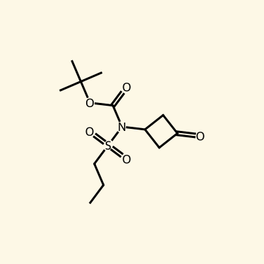 CCCS(=O)(=O)N(C(=O)OC(C)(C)C)C1CC(=O)C1